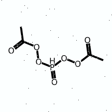 CC(=O)OO[PH](=O)OOC(C)=O